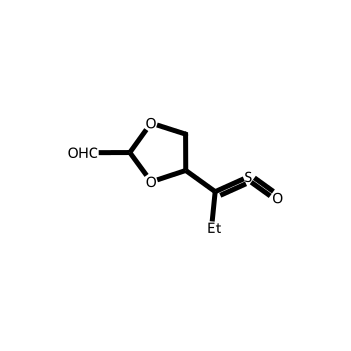 CCC(=S=O)C1COC(C=O)O1